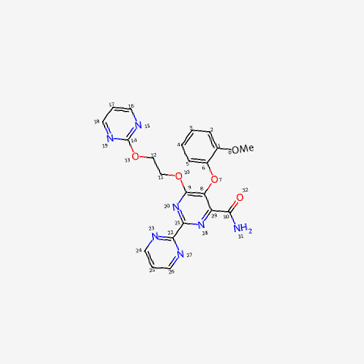 COc1ccccc1Oc1c(OCCOc2ncccn2)nc(-c2ncccn2)nc1C(N)=O